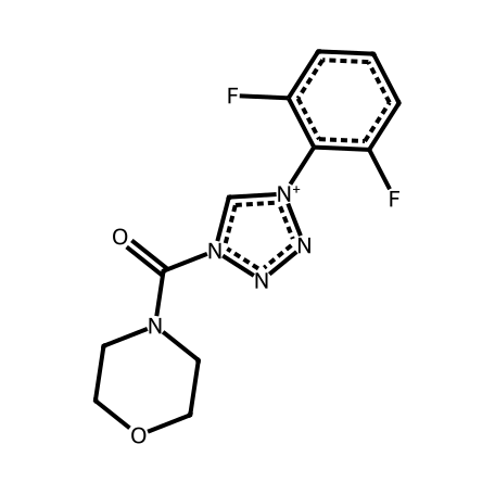 O=C(N1CCOCC1)n1c[n+](-c2c(F)cccc2F)nn1